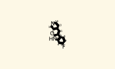 O=C1Nc2cc(F)ccc2/C1=C/c1ccncc1